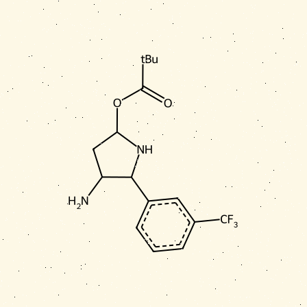 CC(C)(C)C(=O)OC1CC(N)C(c2cccc(C(F)(F)F)c2)N1